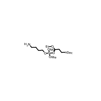 CCCCCCCCCCCCC(OCC)O[Si](OC)(OC)OCCCCN